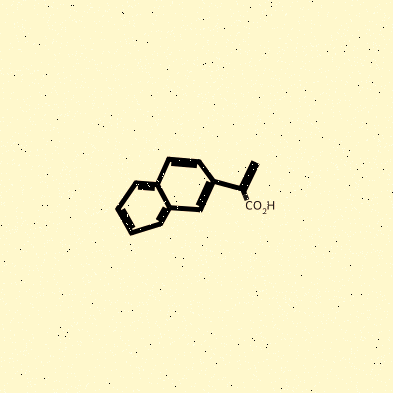 C=C(C(=O)O)c1ccc2ccccc2c1